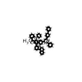 CC1(C)c2ccccc2N(c2ccccc2)c2ccc(-c3cccc4c5c6ccccc6ccc5n(-c5cccc(-c6cc(-c7ccc(-c8ccccc8)cc7)nc(-c7ccccc7)n6)c5)c34)cc21